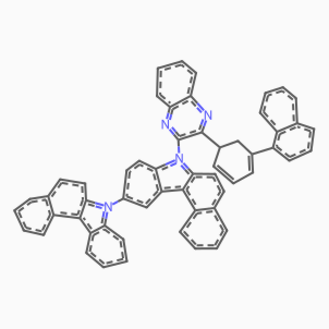 C1=CC(c2nc3ccccc3nc2-n2c3ccc(-n4c5ccccc5c5c6ccccc6ccc54)cc3c3c4ccccc4ccc32)CC(c2cccc3ccccc23)=C1